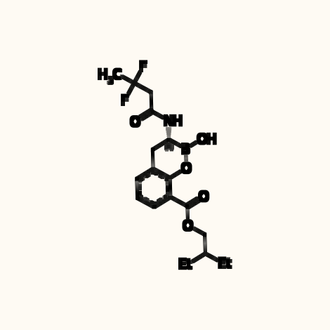 CCC(CC)COC(=O)c1cccc2c1OB(O)[C@@H](NC(=O)CC(C)(F)F)C2